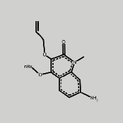 C=CCOc1c(OCCCC)c2ccc(N)cc2n(C)c1=O